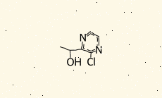 CC(O)c1nccnc1Cl